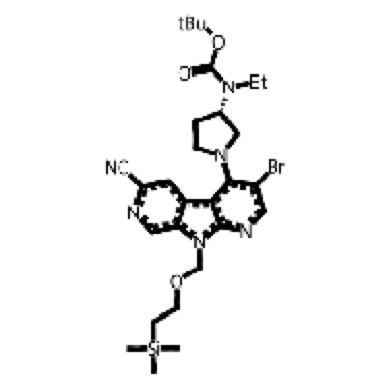 CCN(C(=O)OC(C)(C)C)[C@H]1CCN(c2c(Br)cnc3c2c2cc(C#N)ncc2n3COCC[Si](C)(C)C)C1